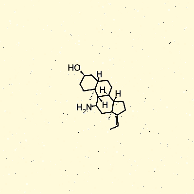 C/C=C1/CC[C@H]2[C@@H]3CC[C@H]4C[C@H](O)CC[C@]4(C)[C@H]3[C@H](N)C[C@]12C